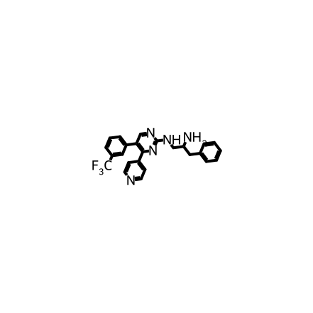 NC(CNc1ncc(-c2cccc(C(F)(F)F)c2)c(-c2ccncc2)n1)Cc1ccccc1